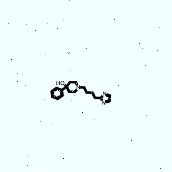 OC1(c2ccccc2)CCN(CCCCC2N=CC=N2)CC1